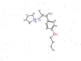 CCCCOc1ccc(C(C)C(C)CN2CCCC2)cc1